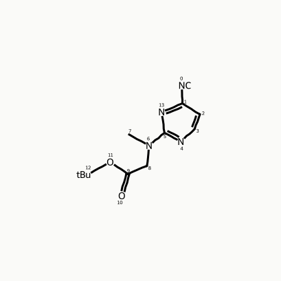 [C-]#[N+]c1ccnc(N(C)CC(=O)OC(C)(C)C)n1